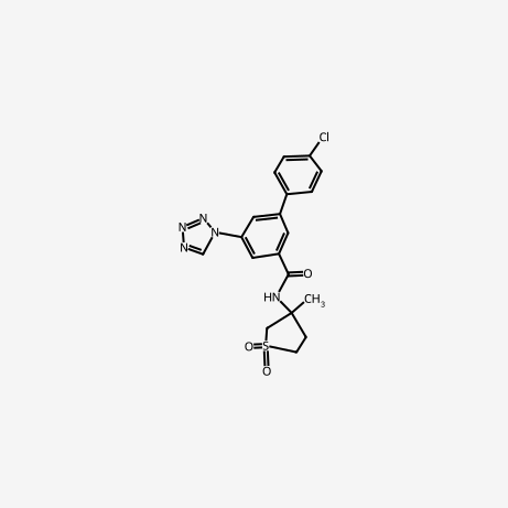 CC1(NC(=O)c2cc(-c3ccc(Cl)cc3)cc(-n3cnnn3)c2)CCS(=O)(=O)C1